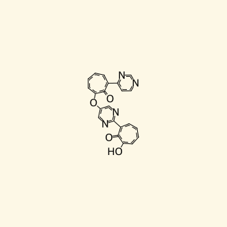 O=c1c(O)ccccc1-c1ncc(Oc2ccccc(-c3ccncn3)c2=O)cn1